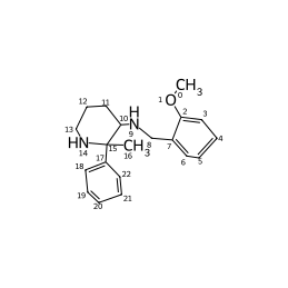 COc1ccccc1CNC1CCCNC1(C)c1ccccc1